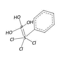 OP(O)(O)=S(Cl)(Cl)(Cl)c1ccccc1